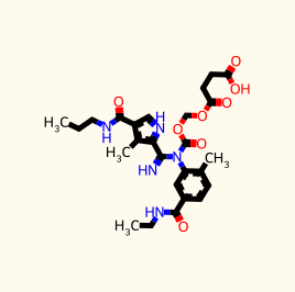 CCCNC(=O)c1c[nH]c(C(=N)N(C(=O)OCOC(=O)CCC(=O)O)c2cc(C(=O)NCC)ccc2C)c1C